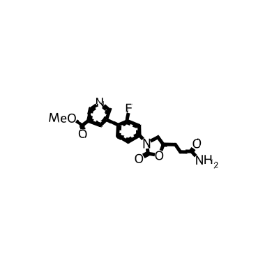 COC(=O)c1cncc(-c2ccc(N3CC(CCC(N)=O)OC3=O)cc2F)c1